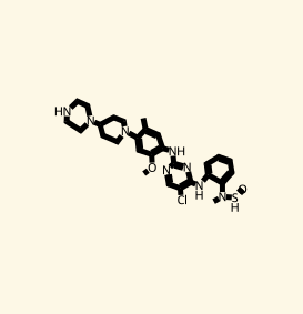 COc1cc(N2CCC(N3CCNCC3)CC2)c(C)cc1Nc1ncc(Cl)c(Nc2ccccc2N(C)[SH]=O)n1